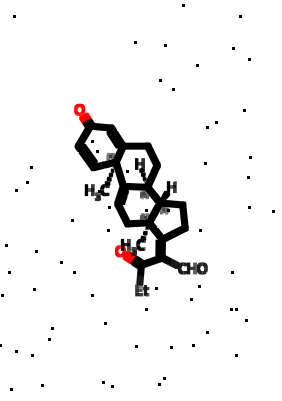 CCC(=O)C(C=O)=C1CC[C@H]2[C@@H]3CCC4=CC(=O)C=C[C@]4(C)C3=CC[C@]12C